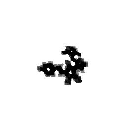 Cc1noc(C)c1Cc1n[nH]cc1N1C(=O)NC(CCc2ccc(F)cc2)C1=O